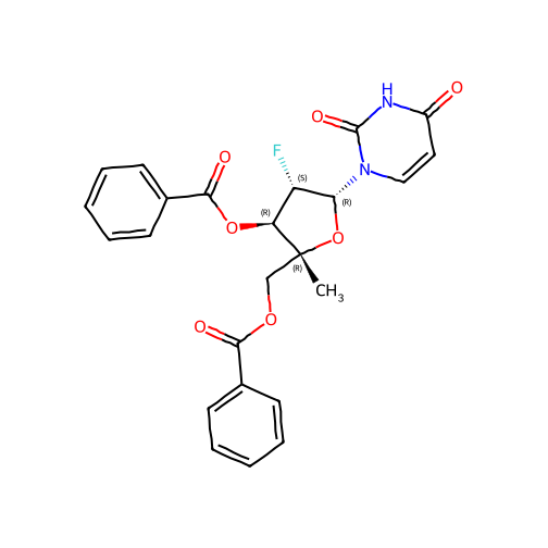 C[C@]1(COC(=O)c2ccccc2)O[C@@H](n2ccc(=O)[nH]c2=O)[C@@H](F)[C@@H]1OC(=O)c1ccccc1